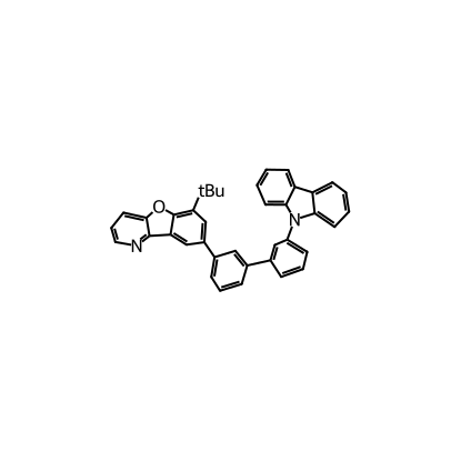 CC(C)(C)c1cc(-c2cccc(-c3cccc(-n4c5ccccc5c5ccccc54)c3)c2)cc2c1oc1cccnc12